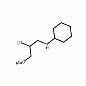 COCC(CNC1CCCCC1)N=O